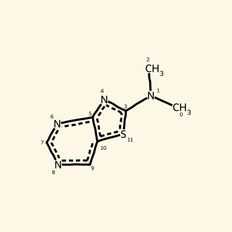 CN(C)c1nc2ncncc2s1